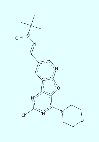 CC(C)(C)[S@@+]([O-])/N=C/c1cnc2oc3c(N4CCOCC4)nc(Cl)nc3c2c1